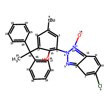 CC(C)(C)c1cc(-n2nc3cc(Cl)ccc3[n+]2[O-])c(O)c(C(C)(c2ccccc2)c2ccccc2)c1